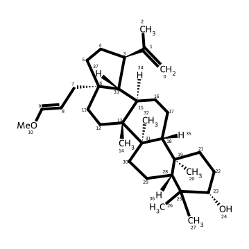 C=C(C)[C@@H]1CC[C@]2(CC=COC)CC[C@]3(C)[C@H](CC[C@@H]4[C@@]5(C)CC[C@H](O)C(C)(C)[C@@H]5CC[C@]43C)[C@@H]12